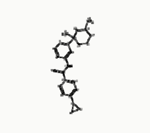 CC1(c2cccc(NC(=O)c3ccc(C4CC4)cn3)c2)CCSC(N)=N1